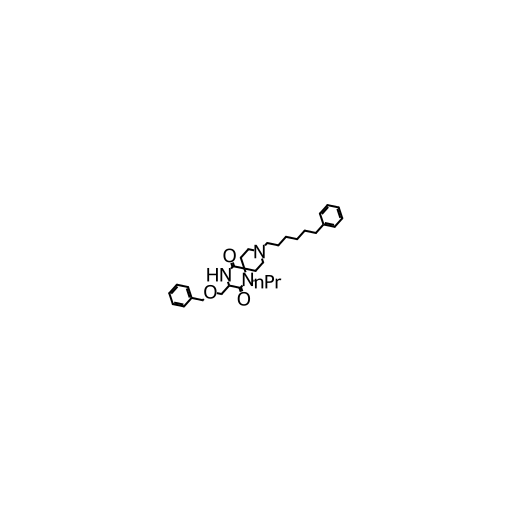 CCCN1C(=O)C(COCc2ccccc2)NC(=O)C12CCN(CCCCCCc1ccccc1)CC2